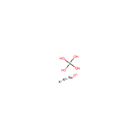 O[Si](O)(O)O.[Al+3].[K+].[Na+].[O-2]